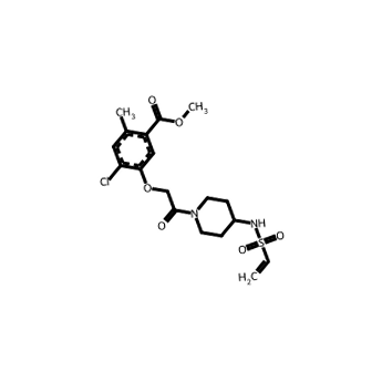 C=CS(=O)(=O)NC1CCN(C(=O)COc2cc(C(=O)OC)c(C)cc2Cl)CC1